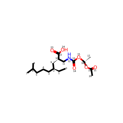 CC[C@@H](CCCC(C)C)C[C@@H](CNC(=O)O[C@H](C)OC(C)=O)C(=O)O